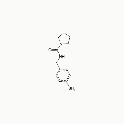 Bc1ccc(CNC(=O)N2CCCC2)cc1